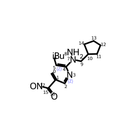 C=C(/C=N\C(=C\C(C)CC)N(N)CC1CCCC1)C(=O)N=O